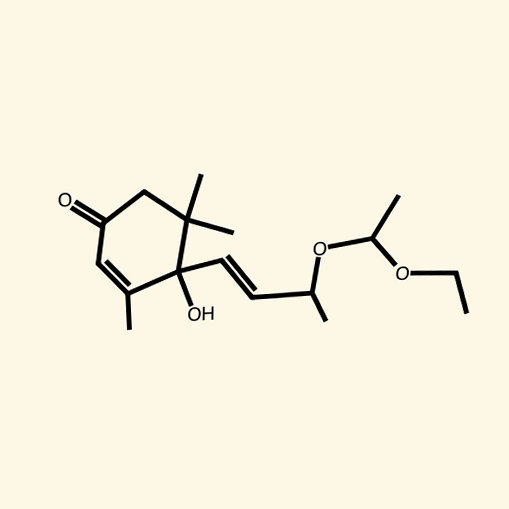 CCOC(C)OC(C)C=CC1(O)C(C)=CC(=O)CC1(C)C